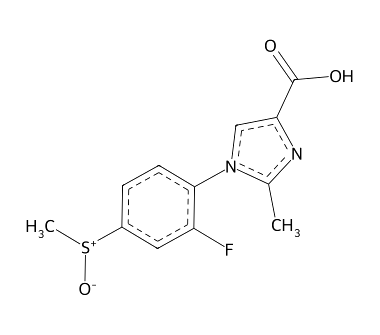 Cc1nc(C(=O)O)cn1-c1ccc([S+](C)[O-])cc1F